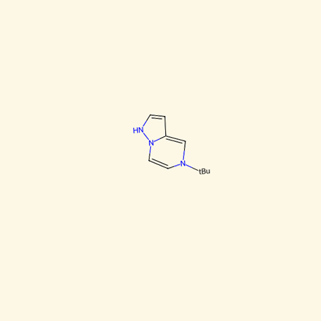 CC(C)(C)N1C=CN2NC=CC2=C1